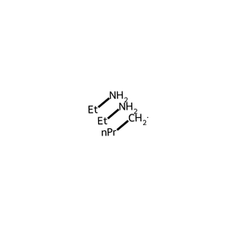 CCN.CCN.[CH2]CCC